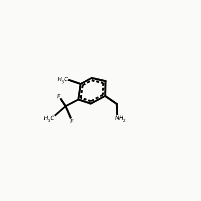 Cc1ccc(CN)cc1C(C)(F)F